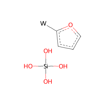 O[Si](O)(O)O.[W][c]1ccco1